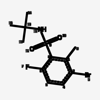 Cc1c(Br)ccc(F)c1S(=O)(=O)NC(C)(C)C